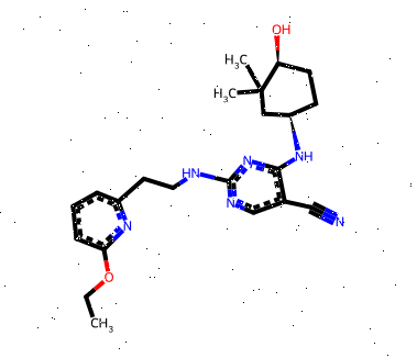 CCOc1cccc(CCNc2ncc(C#N)c(N[C@@H]3CC[C@H](O)C(C)(C)C3)n2)n1